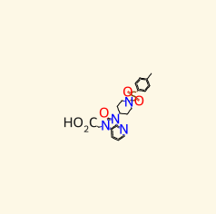 Cc1ccc(S(=O)(=O)N2CCC(n3c(=O)n(CC(=O)O)c4cccnc43)CC2)cc1